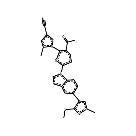 COc1nn(C)cc1-c1ccc2c(c1)ncn2-c1ccc(C(C)=O)c(-n2nc(C#N)cc2C)n1